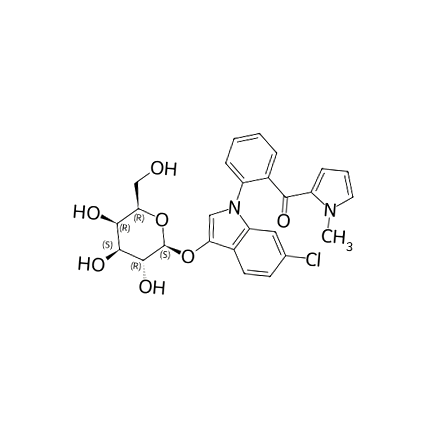 Cn1cccc1C(=O)c1ccccc1-n1cc(O[C@@H]2O[C@H](CO)[C@H](O)[C@H](O)[C@H]2O)c2ccc(Cl)cc21